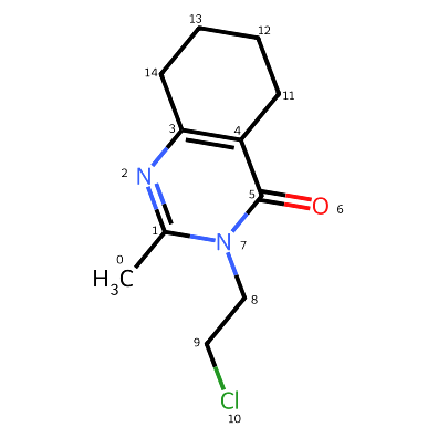 Cc1nc2c(c(=O)n1CCCl)CCCC2